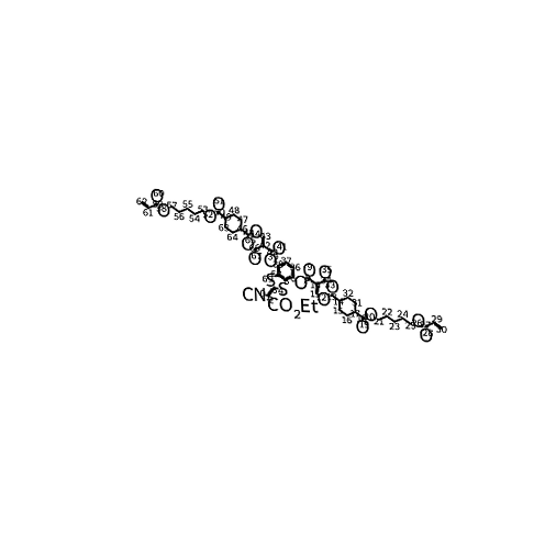 [C-]#[N+]C(C(=O)OCC)=C1Sc2c(OC(=O)C3=COC(C4CCC(C(=O)OCCCCCOC(=O)C=C)CC4)OC3=O)ccc(OC(=O)C3=COC(C4CCC(C(=O)OCCCCCOC(=O)C=C)CC4)OC3=O)c2S1